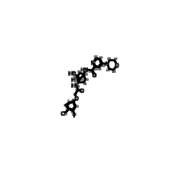 O=C(COc1ccc(Cl)c(F)c1)NC12CCC(NC(=O)c3cc(N4CCOCC4)ccn3)(CC1)C[C@@H]2O